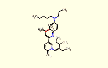 C=C1C=CC(C(=C/C(C)=O)/N=C(/C=C\C(=C/C)N(CCC)CCCCC)C(C)CC)=CN1/C=C(/CC)C(C)CC